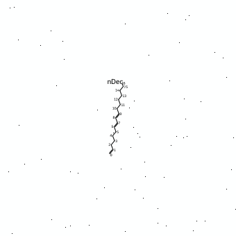 C=CCCCCC=CC=CCCCCCCCCCCCCCCCC